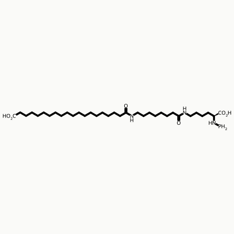 O=C(O)CCCCCCCCCCCCCCCCCCC(=O)NCCCCCCCC(=O)NCCCC[C@H](NP)C(=O)O